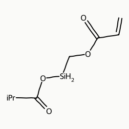 C=CC(=O)OC[SiH2]OC(=O)C(C)C